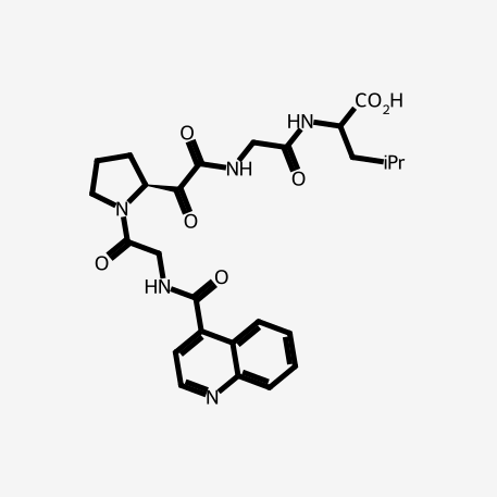 CC(C)CC(NC(=O)CNC(=O)C(=O)[C@@H]1CCCN1C(=O)CNC(=O)c1ccnc2ccccc12)C(=O)O